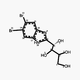 OCC(O)C(O)[C@@H](O)c1nc2cc(Br)c(Br)cc2[nH]1